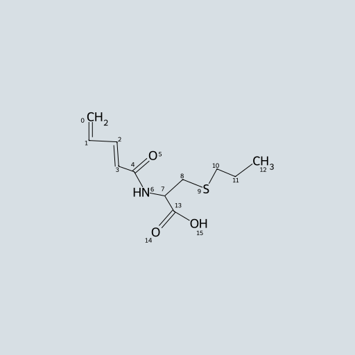 C=C/C=C/C(=O)NC(CSCCC)C(=O)O